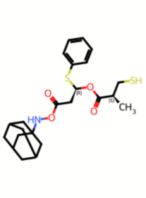 C[C@H](CS)C(=O)O[C@@H](CC(=O)ONC12CC3CC(CC(C3)C1)C2)Sc1ccccc1